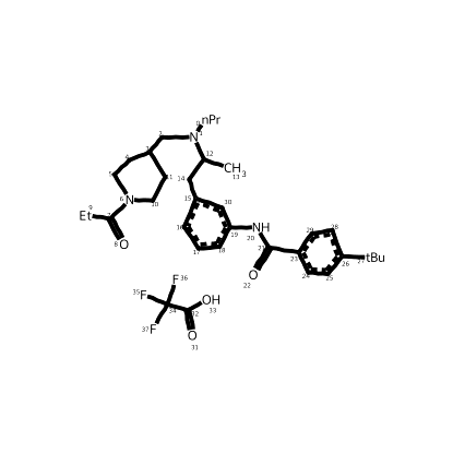 CCCN(CC1CCN(C(=O)CC)CC1)C(C)Cc1cccc(NC(=O)c2ccc(C(C)(C)C)cc2)c1.O=C(O)C(F)(F)F